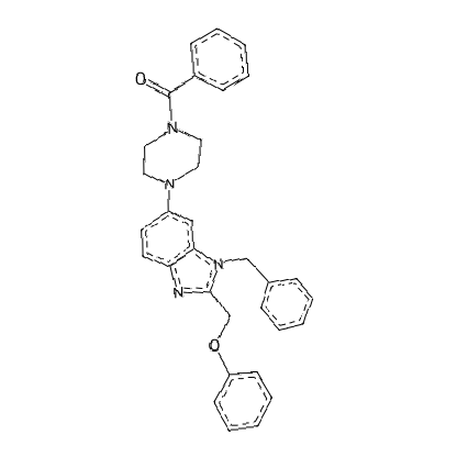 O=C(c1ccccc1)N1CCN(c2ccc3nc(COc4ccccc4)n(Cc4ccccc4)c3c2)CC1